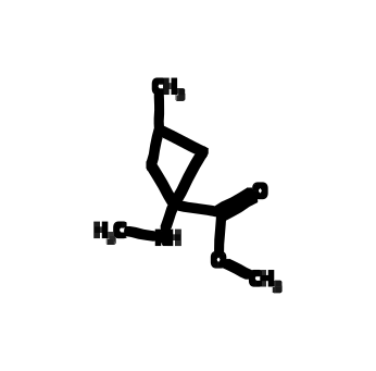 CNC1(C(=O)OC)CC(C)C1